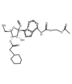 C=N[C@@]1(c2ccc3c(NC(=O)OCOC(C)=O)ncnn23)O[C@H](CO)[C@@H](OC(=O)CC2CCCCC2)[C@H]1O